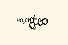 CC1(C)CN(C(=O)O)c2ccnc(-c3cc4ccccc4o3)c21